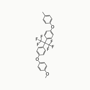 COc1ccc(Oc2ccc(C(c3ccc(Oc4ccc(C)cc4)cc3)(C(F)(F)F)C(F)(F)F)cc2)cc1